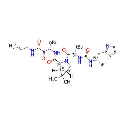 C=CCNC(=O)C(=O)C(CCCC)NC(=O)[C@@H]1[C@@H]2[C@H](CN1C(=O)[C@@H](NC(=O)N[C@H](Cc1nccs1)C(C)C)C(C)(C)C)C2(C)C